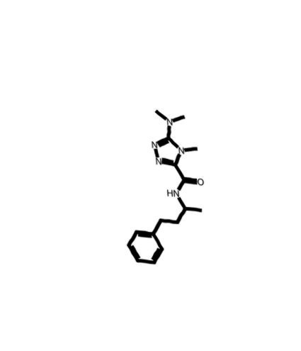 CC(CCc1ccccc1)NC(=O)c1nnc(N(C)C)n1C